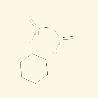 C1CCCCC1.O=[PH](O)O[PH](=O)O